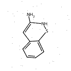 NC1=Cc2ccccc2SN1